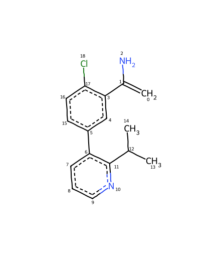 C=C(N)c1cc(-c2cccnc2C(C)C)ccc1Cl